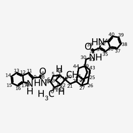 C[C@@H]1[C@H]2C[C@@H](C[C@H]1NC(=O)c1cc3ccccc3[nH]1)C2(C)CC1C2CC3CC1CC(CNC(=O)c1cc4ccccc4[nH]1)(C3)C2